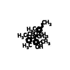 C=CCc1cc(C)c(OC(C)C(O[C@@H]2C[C@H](C)CC[C@H]2C(C)C)c2ccc(O)c(OC)c2)c(C)c1